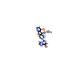 CC(C)(C)[S@@+]([O-])N[C@H]1c2cccnc2CC12CCN(c1ncc(Br)c3nccn13)CC2